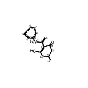 C=C(Nc1ccccc1)C1=C(O)CC(C)CC1=O